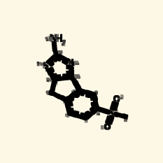 CS(=O)(=O)c1ccc2c(c1)-c1nc(N)sc1C2